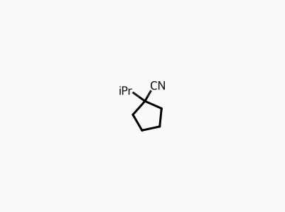 CC(C)C1(C#N)CCCC1